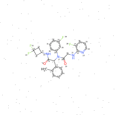 Cc1ccccc1C(C(=O)NC1CC(F)(F)C1)N(C(=O)CNc1ncccc1F)c1cccc(F)c1